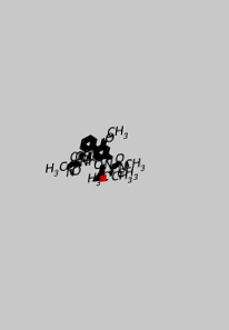 COCc1cc(CN(C(=O)C2CC2)[C@H](C(=O)N(C)C)C(C)C)ccc1-c1ccccc1S(=O)(=O)Nc1onc(C)c1C